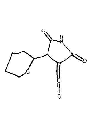 O=C=C1C(=O)NC(=O)C1C1CCCCO1